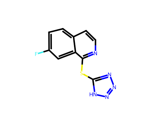 Fc1ccc2ccnc(Sc3nnn[nH]3)c2c1